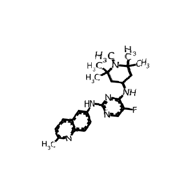 Cc1ccc2cc(Nc3ncc(F)c(NC4CC(C)(C)N(C)C(C)(C)C4)n3)ccc2n1